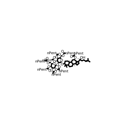 CCCCCC(=O)OC[C@H]1O[C@@H](OC2CC[C@]3(C)C(CC[C@@]4(C)C3C[C@H](OC(=O)CCCCC)C3C([C@@](C)(O)CCC=C(C)C)CC[C@@]34C)C2(C)C)[C@H](OC2O[C@H](COC(=O)CCCCC)[C@@H](OC(=O)CCCCC)[C@H](OC(=O)CCCCC)[C@H]2OC(=O)CCCCC)[C@@H](OC(=O)CCCCC)[C@@H]1OC(=O)CCCCC